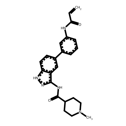 C=CC(=O)Nc1cccc(-c2ccc3[nH]nc(NC(=O)C4CCN(C)CC4)c3c2)c1